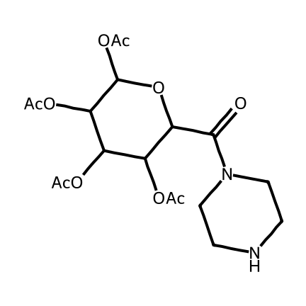 CC(=O)OC1OC(C(=O)N2CCNCC2)C(OC(C)=O)C(OC(C)=O)C1OC(C)=O